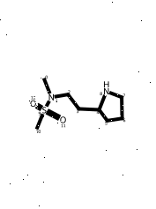 [CH2]N(CCC1CCCN1)S(C)(=O)=O